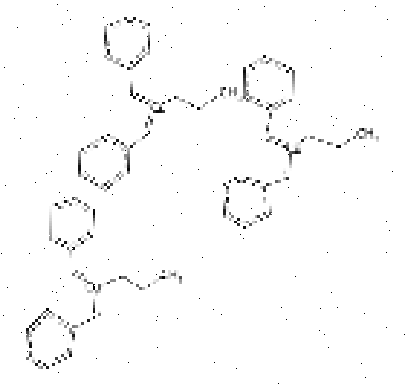 CC[CH2]/[Cu](=[CH]/c1ccccc1)=[CH]\c1ccccc1.CC[CH2]/[Cu](=[CH]/c1ccccc1)=[CH]\c1ccccc1.CC[CH2]/[Cu](=[CH]/c1ccccc1)=[CH]\c1ccccc1